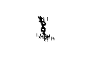 CCCS(=O)(=O)NC[C@@H](C)c1ccc(-c2ccc3c(c2)CC(=O)N3)cc1